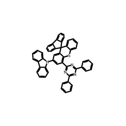 c1ccc(-c2nc(-c3ccccc3)nc(-c3cc(-n4c5ccccc5c5ccccc54)cc4c3Sc3ccccc3C43c4ccccc4-c4ccccc43)n2)cc1